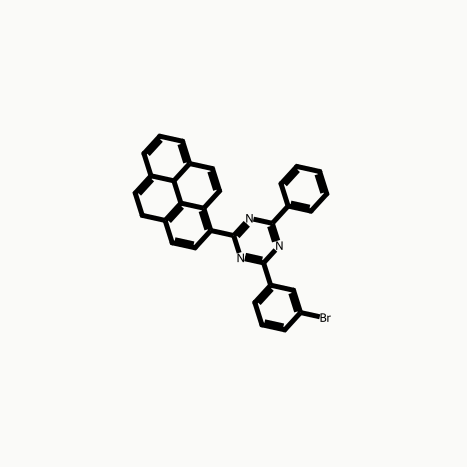 Brc1cccc(-c2nc(-c3ccccc3)nc(-c3ccc4c5c3C=CC3=CC=CC(=CC4)C35)n2)c1